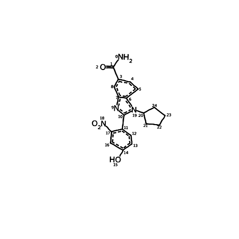 NC(=O)c1ccc2c(c1)nc(-c1ccc(O)cc1[N+](=O)[O-])n2C1CCCC1